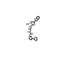 CC(C)C[C@H](NC(=O)c1cc2ccccc2o1)C(=O)NCC(=O)CNC(=O)Cc1cccc(-c2ccccn2)c1